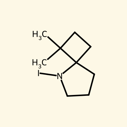 CC1(C)CCC12CCCN2I